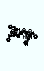 O=C(N[C@H]1C[C@@H]1c1ccccc1)[C@@H]1CN(C(=O)c2ccc(C(=O)N3C[C@@H](C(=O)N[C@H]4C[C@@H]4c4ccccc4)[C@H](C(=O)N[C@H]4C[C@@H]4c4cccnc4)C3)cc2)C[C@H]1C(=O)N[C@H]1C[C@@H]1c1ccccc1